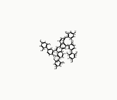 Cc1cc(C)c(-c2ccc(O)c(-c3cc4c(cc5c6cc(-c7c(C)cc(C)cc7C)ccc6oc6cc(C)cc(C)c6c6ccc4c5c6)c4ccc(-c5c(C)cc(C)cc5C)cc34)c2)c(C)c1